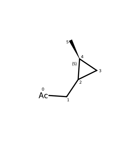 CC(=O)CC1C[C@@H]1C